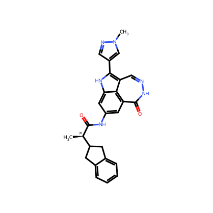 C[C@@H](C(=O)Nc1cc2c3c(c(-c4cnn(C)c4)[nH]c3c1)C=NNC2=O)C1Cc2ccccc2C1